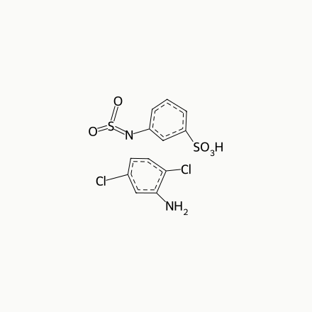 Nc1cc(Cl)ccc1Cl.O=S(=O)=Nc1cccc(S(=O)(=O)O)c1